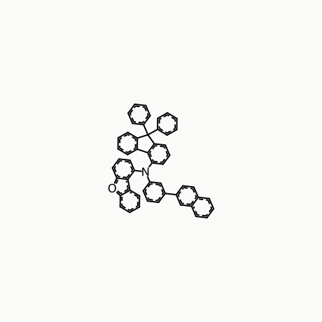 c1ccc(C2(c3ccccc3)c3ccccc3-c3c(N(c4cccc(-c5ccc6ccccc6c5)c4)c4cccc5oc6ccccc6c45)cccc32)cc1